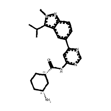 CC(C)c1c2cc(-c3cc(NC(=O)[C@H]4CCC[C@@H](N)C4)ncn3)ccc2nn1C